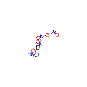 CNC1=C(C(=O)c2ccc(N(C)C(=O)CC(=O)N(C)CCOCCCN(C)C=O)cc2)CCCC1